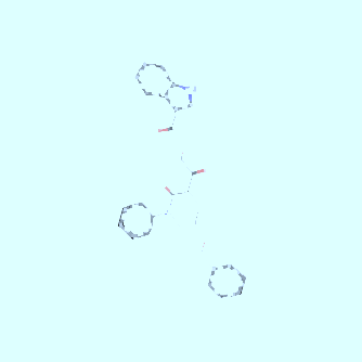 CN(C(=O)C(CCOCc1ccccc1)C(=O)COC(=O)c1c[nH]c2ccccc12)c1ccccc1